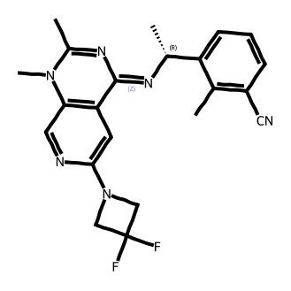 Cc1c(C#N)cccc1[C@@H](C)/N=c1\nc(C)n(C)c2cnc(N3CC(F)(F)C3)cc12